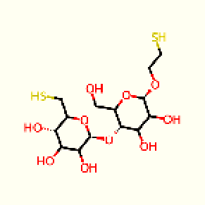 OCC1O[C@@H](OCCS)C(O)C(O)[C@@H]1O[C@@H]1OC(CS)[C@@H](O)C(O)C1O